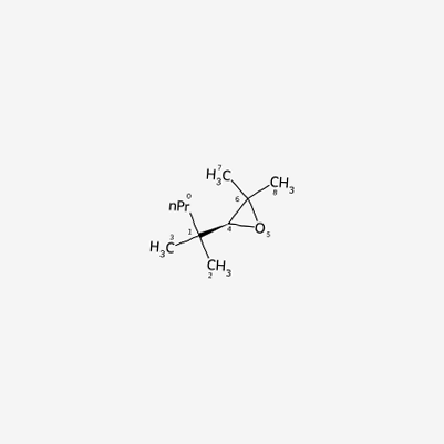 CCCC(C)(C)[C@@H]1OC1(C)C